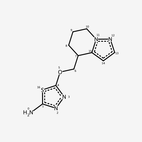 Nc1nnc(OCC2CCCn3nccc32)s1